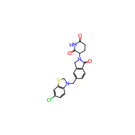 O=C1CCC(N2Cc3cc(CN4CSc5cc(Cl)ccc54)ccc3C2=O)C(=O)N1